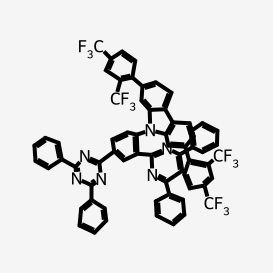 FC(F)(F)c1ccc(-c2ccc3c4ccc(-c5ccc(C(F)(F)F)cc5C(F)(F)F)cc4n(-c4ccc(-c5nc(-c6ccccc6)nc(-c6ccccc6)n5)cc4-c4nc(-c5ccccc5)cc(-c5ccccc5)n4)c3c2)c(C(F)(F)F)c1